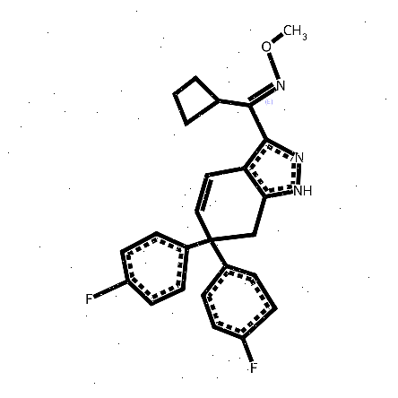 CO/N=C(/c1n[nH]c2c1C=CC(c1ccc(F)cc1)(c1ccc(F)cc1)C2)C1CCC1